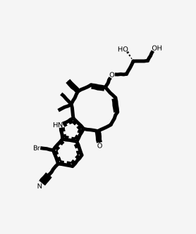 C=C1/C=C(OC[C@H](O)CO)\C=C/CC(=O)c2c([nH]c3c(Br)c(C#N)ccc23)C1(C)C